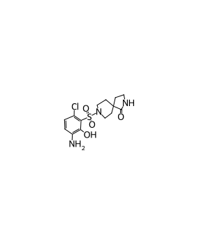 Nc1ccc(Cl)c(S(=O)(=O)N2CCC3(CCNC3=O)CC2)c1O